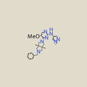 COc1cnc(Nc2cnn(C)c2)nc1N1C[C@]2(C)CN(Cc3ccccc3)C[C@]2(C)C1